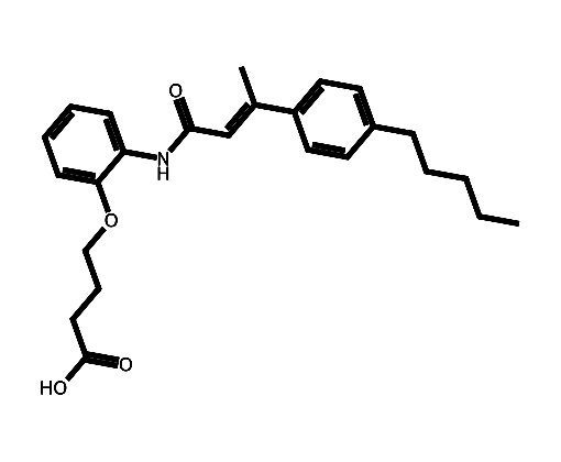 CCCCCc1ccc(C(C)=CC(=O)Nc2ccccc2OCCCC(=O)O)cc1